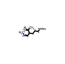 C=C(C)C(/C=N\C)CCCCCCCCC